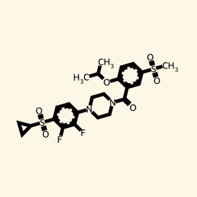 CC(C)Oc1ccc(S(C)(=O)=O)cc1C(=O)N1CCN(c2ccc(S(=O)(=O)C3CC3)c(F)c2F)CC1